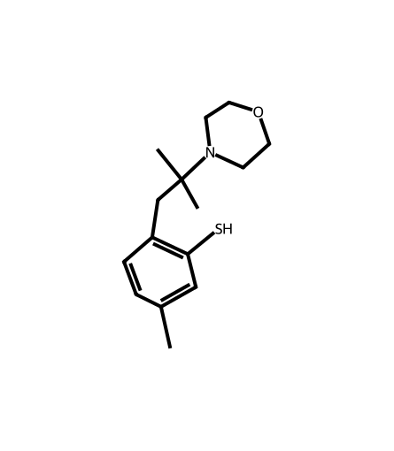 Cc1ccc(CC(C)(C)N2CCOCC2)c(S)c1